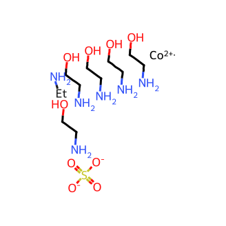 CCN.NCCO.NCCO.NCCO.NCCO.NCCO.O=S(=O)([O-])[O-].[Co+2]